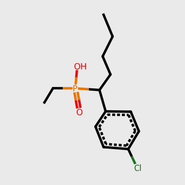 CCCCC(c1ccc(Cl)cc1)P(=O)(O)CC